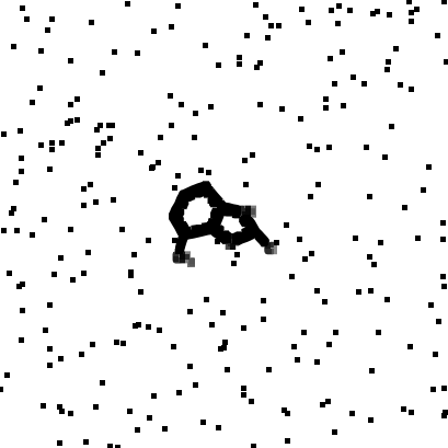 Cc1cc[c]c2[nH]c(Cl)nc12